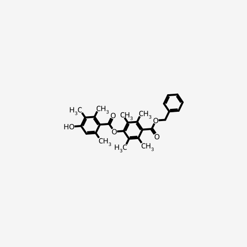 Cc1cc(O)c(C)c(C)c1C(=O)Oc1c(C)c(C)c(C(=O)OCc2ccccc2)c(C)c1C